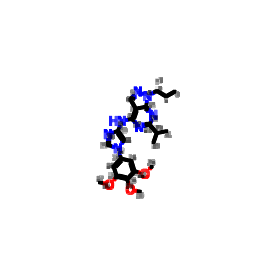 CC[C@@H](C)n1ncc2c(Nc3cn(-c4cc(OC)c(OC)c(OC)c4)cn3)nc(C(C)C)nc21